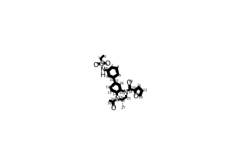 CCS(=O)(=O)Nc1cccc(-c2ccc3c(c2)N(C(=O)c2ccco2)C[C@H](C)N3C(C)=O)c1